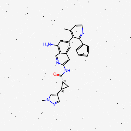 Cc1ccnc(-c2ccccc2)c1-c1cc(N)c2cnc(NC(=O)[C@@H]3C[C@H]3c3cnn(C)c3)cc2c1